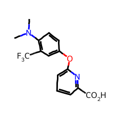 CN(C)c1ccc(Oc2cccc(C(=O)O)n2)cc1C(F)(F)F